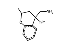 CCCC1(CN)CC(C)Oc2ccccc21